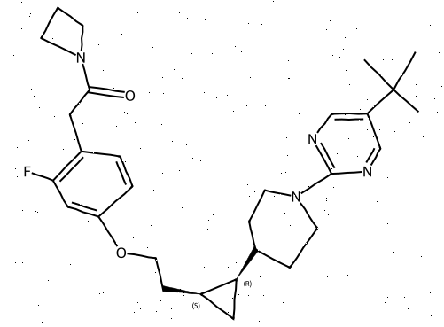 CC(C)(C)c1cnc(N2CCC([C@H]3C[C@H]3CCOc3ccc(CC(=O)N4CCC4)c(F)c3)CC2)nc1